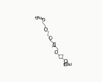 CC(C)(C)OCCOCCOCC12CC(COC3CC(OC(C)(C)C)C3)(C1)C2